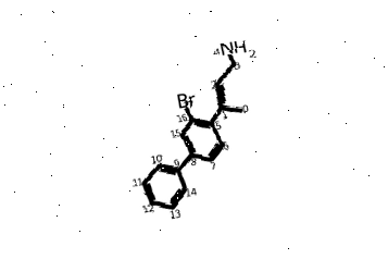 CC(=CCN)c1ccc(-c2ccccc2)cc1Br